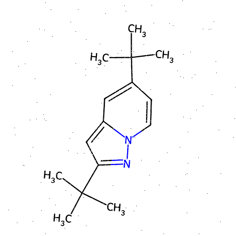 CC(C)(C)c1ccn2nc(C(C)(C)C)cc2c1